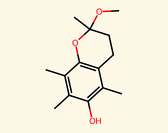 COC1(C)CCc2c(C)c(O)c(C)c(C)c2O1